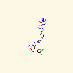 N#Cc1ccc(OC2(c3cc(N4CC(CN5CCN(c6ccn7c(N8CCC(=O)NC8=O)cnc7c6)CC5)C4)nnc3C(N)=O)CCCCC2)cc1Cl